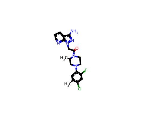 Cc1cc(N2CCN(C(=O)Cn3nc(N)c4cccnc43)[C@@H](C)C2)c(F)cc1Cl